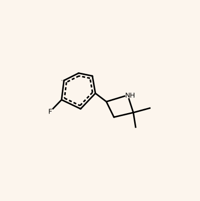 CC1(C)CC(c2cc[c]c(F)c2)N1